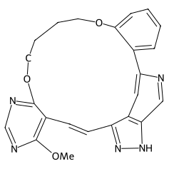 COc1ncnc2c1/C=C/c1n[nH]c3cnc(cc13)-c1ccccc1OCCCCO2